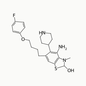 CN1c2c(cc(CCCCOc3ccc(F)cc3)c(C3CCNCC3)c2N)SC1O